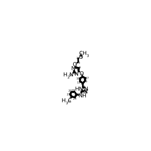 COCCOc1cc(Oc2ccc(-c3nnc(Nc4cccc(C)c4)[nH]3)cc2)nc(N)n1